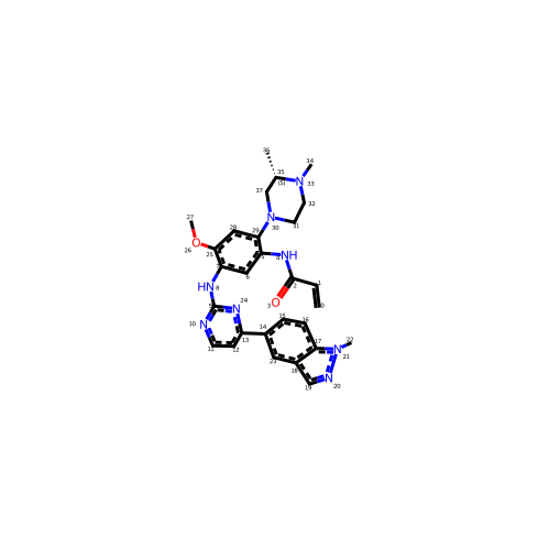 C=CC(=O)Nc1cc(Nc2nccc(-c3ccc4c(cnn4C)c3)n2)c(OC)cc1N1CCN(C)[C@@H](C)C1